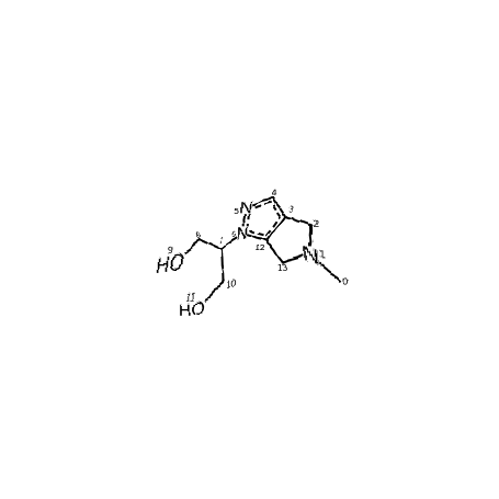 CN1Cc2cnn(C(CO)CO)c2C1